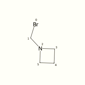 BrCN1CCC1